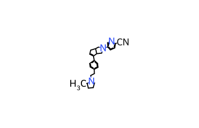 CC1CCCN1CCc1ccc(C2=CCC3CN(c4ccc(C#N)nc4)CC23)cc1